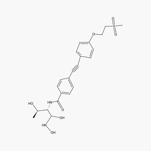 C[C@@H](O)[C@H](NC(=O)c1ccc(C#Cc2ccc(OCCS(C)(=O)=O)cc2)cc1)C(O)NO